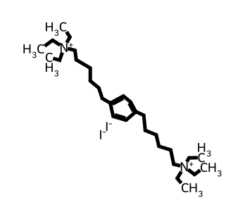 CC[N+](CC)(CC)CCCCCCc1ccc(CCCCCC[N+](CC)(CC)CC)cc1.[I-].[I-]